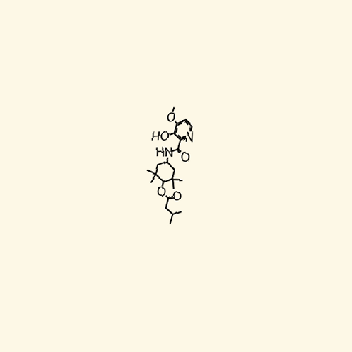 COc1ccnc(C(=O)NC2CC(C)(C)C(OC(=O)CC(C)C)C(C)(C)C2)c1O